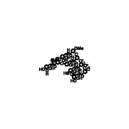 COc1ccc(C(=O)NN=Cc2ccc(O)c(O)c2O)cc1.O=C(NN=Cc1cc(Cl)ccc1O)c1cccc(Cl)c1.O=C(NN=Cc1ccc(O)c(O)c1O)c1cc(C(F)(F)F)cc(C(F)(F)F)c1.O=C(NN=Cc1ccc(O)c(O)c1O)c1cccc(Cl)c1-n1cccc1.O=C(NN=Cc1cccc(O)c1O)c1ccc(Cl)c(Cl)c1